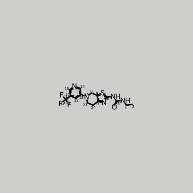 CCNC(=O)Nc1nc2c(s1)CN(c1cncc(C(F)(F)F)c1)CC2